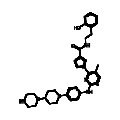 Cc1cnc(Nc2ccc(N3CCC(N4CCNCC4)CC3)cc2)nc1-n1ccc(C(=O)NCCc2ccccc2O)c1